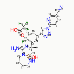 C[C@@]1(c2cc(-c3cn(-c4ccc(C#N)cn4)nn3)ccc2F)CS2(O)NCCCCN2C(N)=N1.O=C(O)C(F)(F)F